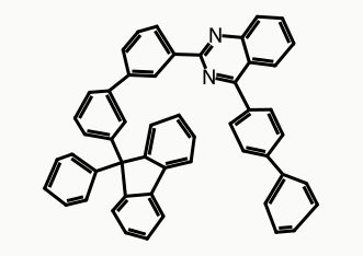 c1ccc(-c2ccc(-c3nc(-c4cccc(-c5cccc(C6(c7ccccc7)c7ccccc7-c7ccccc76)c5)c4)nc4ccccc34)cc2)cc1